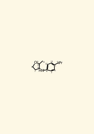 CC(C)c1ccc(NC2CCOC2C)cc1